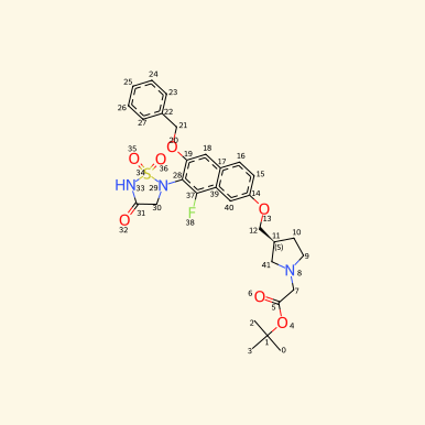 CC(C)(C)OC(=O)CN1CC[C@H](COc2ccc3cc(OCc4ccccc4)c(N4CC(=O)NS4(=O)=O)c(F)c3c2)C1